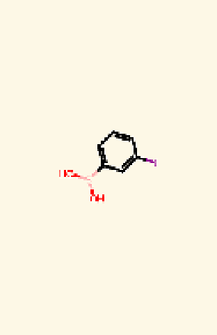 OB(O)c1cccc(I)c1